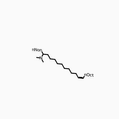 CCCCCCCC/C=C\CCCCCCCCCC(CCCCCCCCC)N(C)C